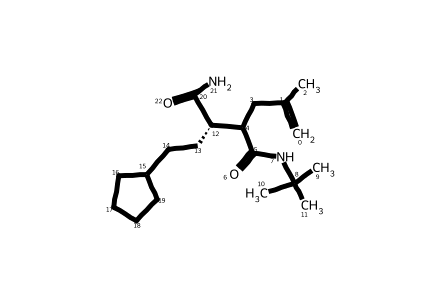 C=C(C)CC(C(=O)NC(C)(C)C)[C@H](CCC1CCCC1)C(N)=O